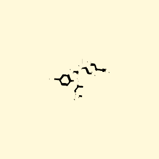 CC(CN(C)C)Oc1ccc(Cl)cc1NC(=O)Nc1cnc(C#N)cn1